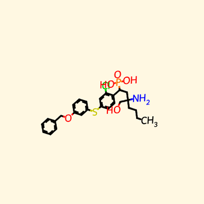 CCCCC(N)(CO)CC(c1ccc(Sc2cccc(OCc3ccccc3)c2)cc1Cl)P(=O)(O)O